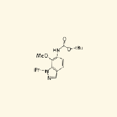 COc1c(NC(=O)OC(C)(C)C)ccc2cnn(C(C)C)c12